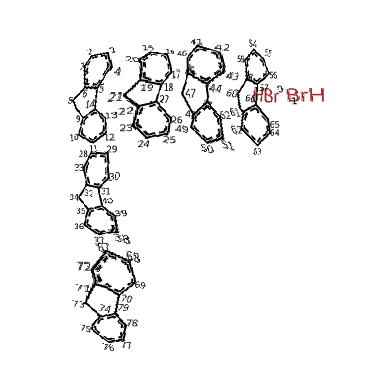 Br.Br.c1ccc2c(c1)Cc1ccccc1-2.c1ccc2c(c1)Cc1ccccc1-2.c1ccc2c(c1)Cc1ccccc1-2.c1ccc2c(c1)Cc1ccccc1-2.c1ccc2c(c1)Cc1ccccc1-2.c1ccc2c(c1)Cc1ccccc1-2